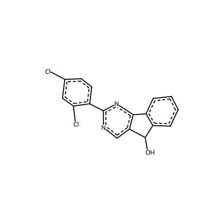 OC1c2ccccc2-c2nc(-c3ccc(Cl)cc3Cl)ncc21